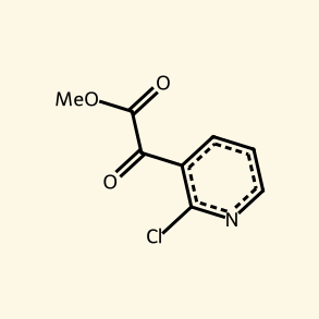 COC(=O)C(=O)c1cccnc1Cl